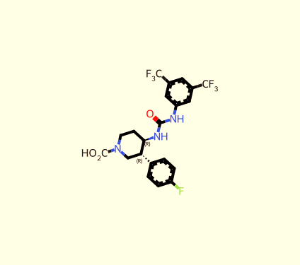 O=C(Nc1cc(C(F)(F)F)cc(C(F)(F)F)c1)N[C@@H]1CCN(C(=O)O)C[C@H]1c1ccc(F)cc1